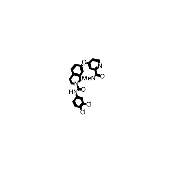 CNC(=O)c1cc(Oc2ccc3c(c2)CN(C(=O)Nc2ccc(Cl)c(Cl)c2)CC3)ccn1